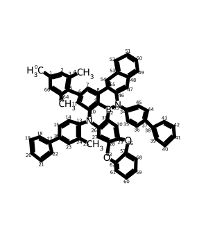 Cc1cc(C)c(-c2cc3c4c(c2)N(c2ccc(-c5ccccc5)cc2C)c2cc5c(cc2B4N(c2ccc(-c4ccccc4)cc2)c2cc4ccccc4cc2-3)Oc2ccccc2O5)c(C)c1